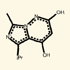 Cc1nc(C(C)C)c2c(O)cc(O)nn12